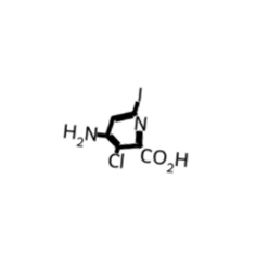 Nc1cc(I)nc(C(=O)O)c1Cl